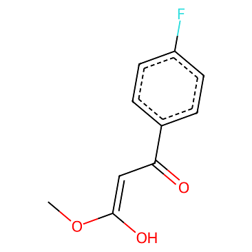 CO/C(O)=C/C(=O)c1ccc(F)cc1